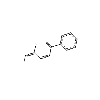 C=C(/C=C\C(N)=C/C)c1ccccc1